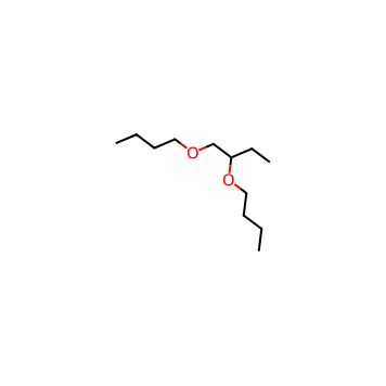 CCCCOCC(CC)OCCCC